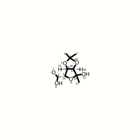 CC1(C)O[C@@H]2[C@@H](C([O])O)OC(C)(O)[C@@H]2O1